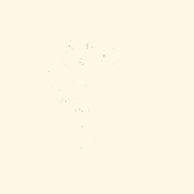 Clc1cccc(Nc2ncc3c(n2)-c2sc(NCC4CCCO4)nc2CC3)c1